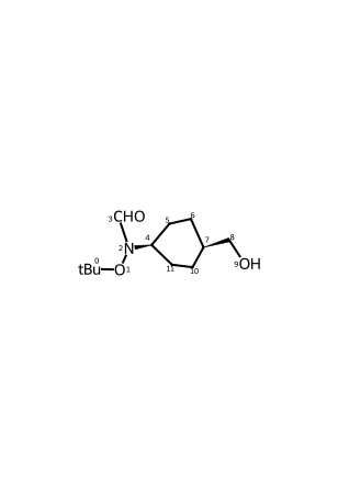 CC(C)(C)ON(C=O)[C@H]1CC[C@@H](CO)CC1